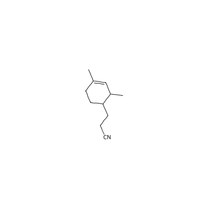 CC1=CC(C)C(CCC#N)CC1